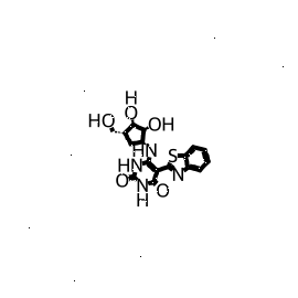 O=c1[nH]c(N[C@@H]2C[C@H](CO)[C@@H](O)[C@H]2O)c(-c2nc3ccccc3s2)c(=O)[nH]1